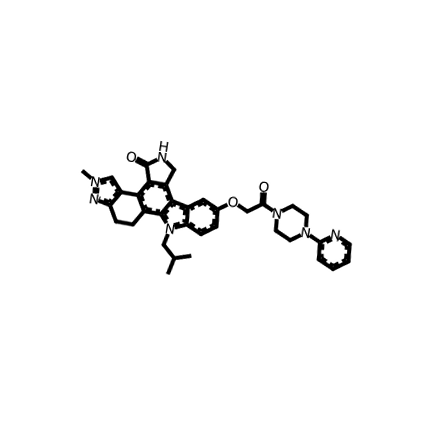 CC(C)Cn1c2ccc(OCC(=O)N3CCN(c4ccccn4)CC3)cc2c2c3c(c4c(c21)CCc1nn(C)cc1-4)C(=O)NC3